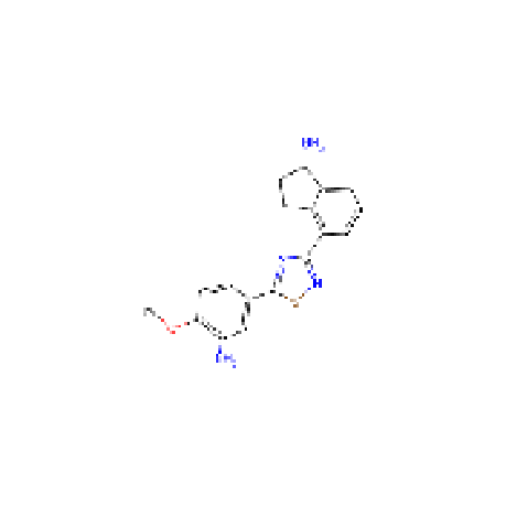 CC(C)Oc1ccc(-c2nc(-c3cccc4c3CC[C@@H]4N)ns2)cc1N